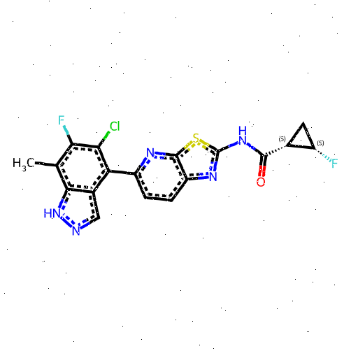 Cc1c(F)c(Cl)c(-c2ccc3nc(NC(=O)[C@@H]4C[C@@H]4F)sc3n2)c2cn[nH]c12